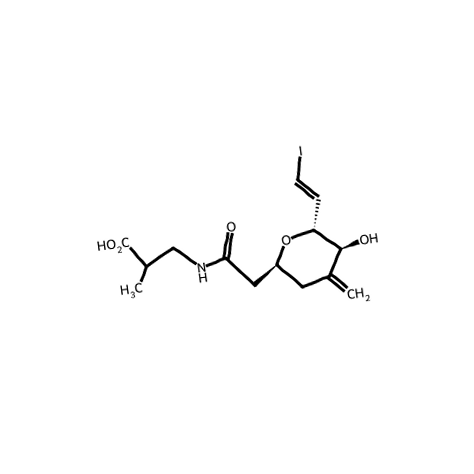 C=C1C[C@@H](CC(=O)NCC(C)C(=O)O)O[C@H](/C=C/I)[C@H]1O